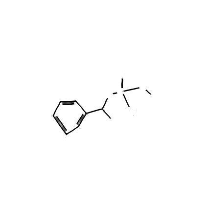 CCO[Si](C)(C)OC(C)c1ccccc1